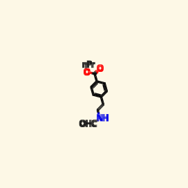 CCCOC(=O)c1ccc(CCNC=O)cc1